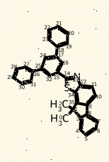 CC1(C)c2ccccc2-c2ccc3nc(-c4cc(-c5ccccc5)cc(-c5ccccc5)c4)sc3c21